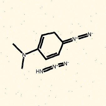 CN(C)C1=CCC(=[N+]=[N-])C=C1.[N-]=[N+]=N